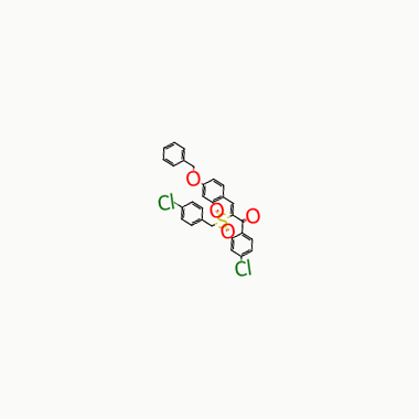 O=C(C(=Cc1ccc(OCc2ccccc2)cc1)S(=O)(=O)Cc1ccc(Cl)cc1)c1ccc(Cl)cc1